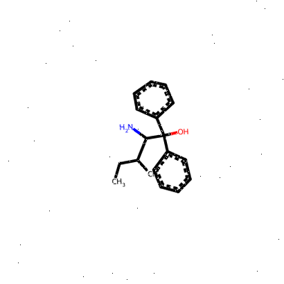 CCC(C)C(N)C(O)(c1ccccc1)c1ccccc1